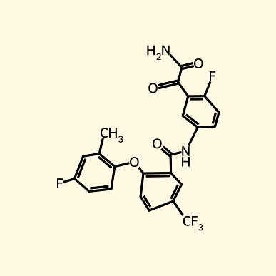 Cc1cc(F)ccc1Oc1ccc(C(F)(F)F)cc1C(=O)Nc1ccc(F)c(C(=O)C(N)=O)c1